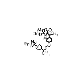 COC(=O)[C@@H](NC(=O)OC(C)(C)C)[C@@H](C)c1ccc(OCCC(C)C2CCN(c3nc(C(C)C)no3)CC2)cc1F